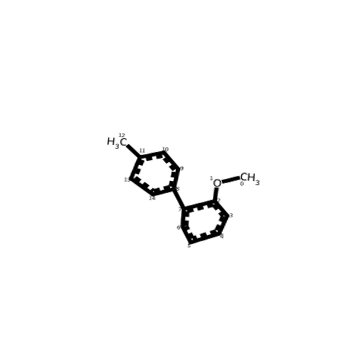 COc1c[c]ccc1-c1ccc(C)cc1